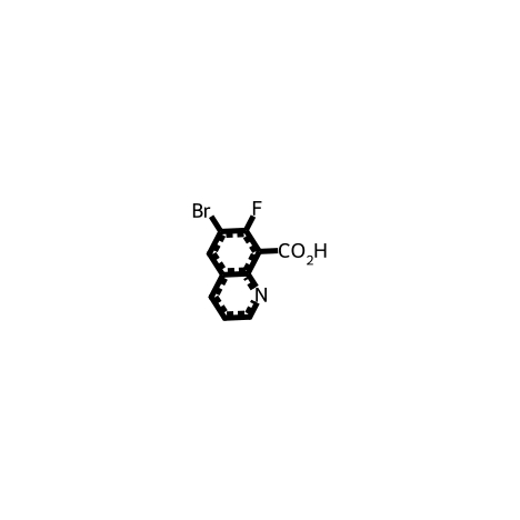 O=C(O)c1c(F)c(Br)cc2cccnc12